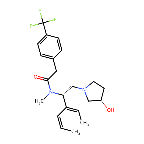 C/C=C\C(=C/C)[C@@H](CN1CC[C@H](O)C1)N(C)C(=O)Cc1ccc(C(F)(F)F)cc1